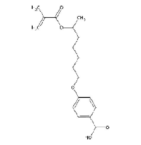 C=C(C)C(=O)OC(C)CCCCCOc1ccc(C(=O)O)cc1